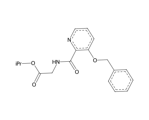 CC(C)OC(=O)CNC(=O)c1ncccc1OCc1ccccc1